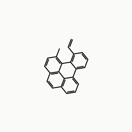 C=Cc1cccc2c3cccc4ccc5ccc(C)c(c12)c5c43